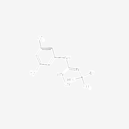 CCC(C)(C)/N=C(\NC#N)Nc1cc(C(F)(F)F)cc(C(F)(F)F)c1